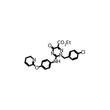 CCOC(=O)c1nn(Cc2ccc(Cl)cc2)c(Nc2ccc(OC3=NCCC=C3)cc2)nc1=O